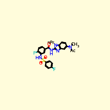 CCCn1c(NC(=O)c2ccc(F)c(NS(=O)(=O)c3ccc(F)cc3)c2)nc2cc(N(C)C(C)=O)ccc21